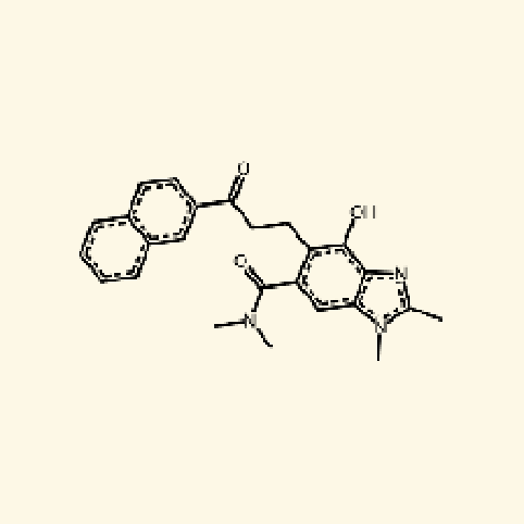 Cc1nc2c(O)c(CCC(=O)c3ccc4ccccc4c3)c(C(=O)N(C)C)cc2n1C